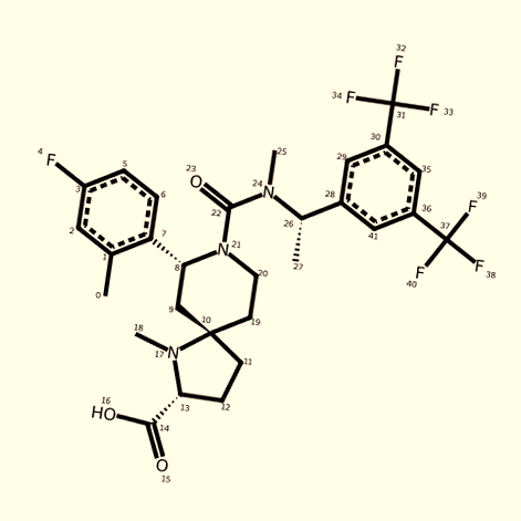 Cc1cc(F)ccc1[C@H]1C[C@]2(CC[C@H](C(=O)O)N2C)CCN1C(=O)N(C)[C@@H](C)c1cc(C(F)(F)F)cc(C(F)(F)F)c1